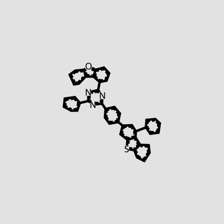 c1ccc(-c2nc(-c3ccc(-c4cc(-c5ccccc5)c5c(c4)sc4ccccc45)cc3)nc(-c3cccc4oc5ccccc5c34)n2)cc1